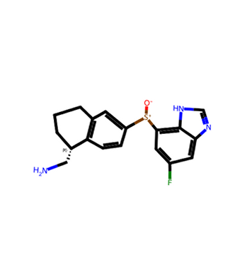 NC[C@@H]1CCCc2cc([S+]([O-])c3cc(F)cc4nc[nH]c34)ccc21